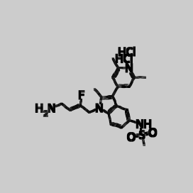 Cc1cc(-c2c(C)n(C/C(F)=C/CN)c3ccc(NS(C)(=O)=O)cc23)cc(C)n1.Cl.Cl